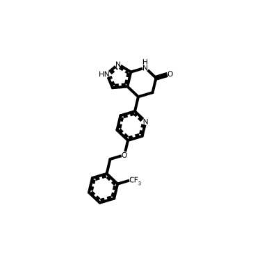 O=C1CC(c2ccc(OCc3ccccc3C(F)(F)F)cn2)c2c[nH]nc2N1